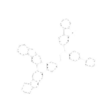 CC1(C)c2ccccc2-c2ccc(C(CCc3ccc(-c4cc5sc6ccccc6c5cc4-c4ccc5oc6ccccc6c5c4)cc3)c3ccc(-c4ccccc4)cc3)cc21